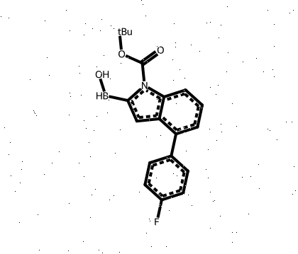 CC(C)(C)OC(=O)n1c(BO)cc2c(-c3ccc(F)cc3)cccc21